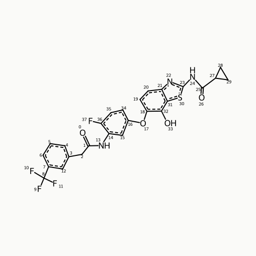 O=C(Cc1cccc(C(F)(F)F)c1)Nc1cc(Oc2ccc3nc(NC(=O)C4CC4)sc3c2O)ccc1F